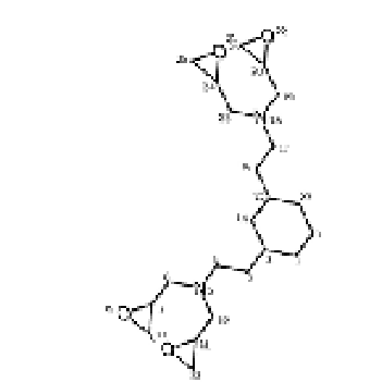 C1CC(CCN(CC2CO2)CC2CO2)CC(CCN(CC2CO2)CC2CO2)C1